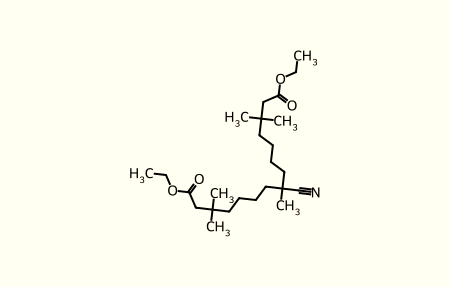 CCOC(=O)CC(C)(C)CCCCC(C)(C#N)CCCCC(C)(C)CC(=O)OCC